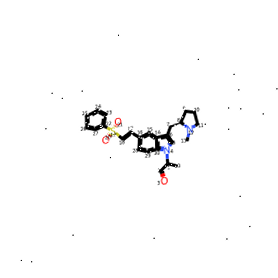 CC(C=O)n1cc(C[C@H]2CCCN2C)c2cc(/C=C/S(=O)(=O)c3ccccc3)ccc21